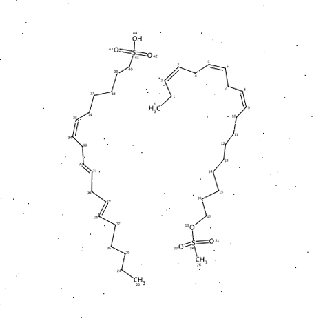 CC/C=C\C/C=C\C/C=C\CCCCCCCCOS(C)(=O)=O.CCCCCC=CCC=CC/C=C\CCCCCS(=O)(=O)O